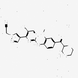 COc1cc(C(=O)C2CNCCO2)ccc1Nc1ncc(Cl)c(-c2cnn(CC#N)c2)n1